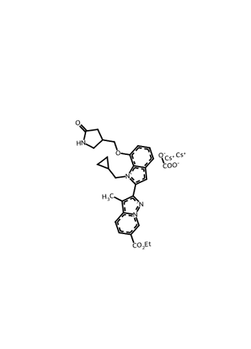 CCOC(=O)c1ccc2c(C)c(-c3cc4cccc(OCC5CNC(=O)C5)c4n3CC3CC3)nn2c1.O=C([O-])[O-].[Cs+].[Cs+]